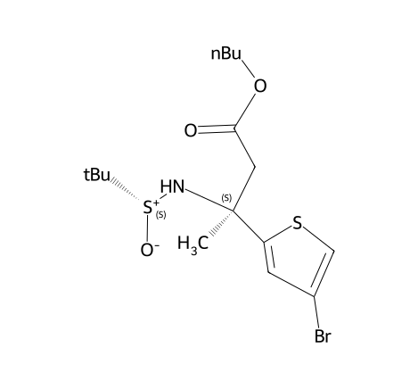 CCCCOC(=O)C[C@](C)(N[S@+]([O-])C(C)(C)C)c1cc(Br)cs1